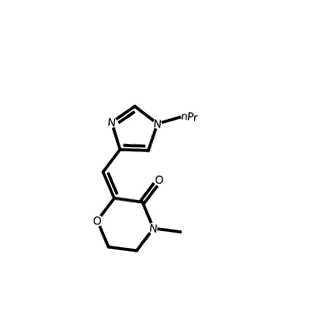 CCCn1cnc(C=C2OCCN(C)C2=O)c1